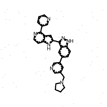 c1cncc(-c2nccc3[nH]c(-c4n[nH]c5ccc(-c6cncc(CN7CCCC7)c6)cc45)cc23)c1